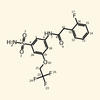 NS(=O)(=O)c1cc(NC(=O)Cc2ccccc2F)cc(OCC(F)(F)F)c1